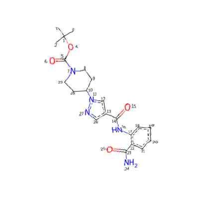 CC(C)(C)OC(=O)N1CCC(n2cc(C(=O)Nc3ccccc3C(N)=O)cn2)CC1